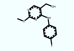 CSc1ncc(CO)c(Nc2ccc(F)cc2)n1